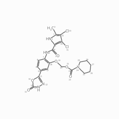 Cc1[nH]c(C(=O)Nc2ccc(-c3n[nH]c(=O)o3)cc2OCOC(=O)N2CCCCC2)c(Cl)c1Cl